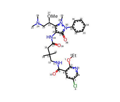 CCOc1ncc(Cl)cc1C(=O)NCC(C)(C)CC(=O)Nc1c([C@@H](CN(C)C)OC)n(C)n(-c2ccccc2)c1=O